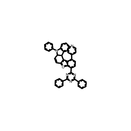 C1=CC2C(c3ccccc3N2c2ccccc2)c2c1oc1c(-c3nc(-c4ccccc4)nc(-c4ccccc4)n3)ccc(-c3ccncc3)c21